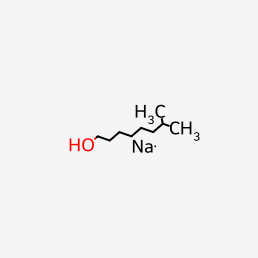 CC(C)CCCCCCO.[Na]